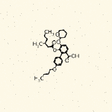 CCCCOc1ccc(-c2c(C(=O)O)ccc(OC3CCCCO3)c2OC(=O)CC(C)CCC)cc1